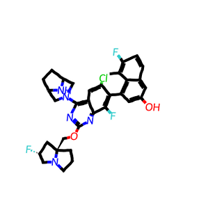 Cc1c(F)ccc2cc(O)cc(-c3c(Cl)cc4c(N5CC6CCC(C5)N6)nc(OC[C@@]56CCCN5C[C@H](F)C6)nc4c3F)c12